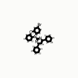 Brc1ccc2c(c1)Oc1ccccc1N2c1nc(-c2ccccc2)cc(-c2ccccc2)n1